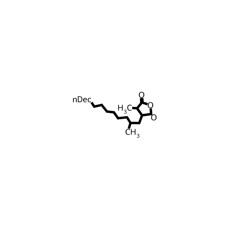 CCCCCCCCCCCCCCCCC(C)CC1C(=O)OC(=O)C1C